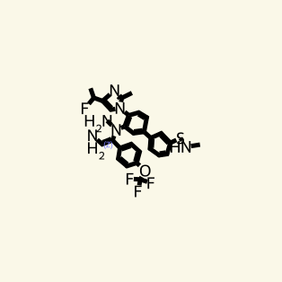 CNSc1cccc(-c2ccc(-n3cc(C(C)F)nc3C)c(N(N)/C(=C\N)c3ccc(OC(F)(F)F)cc3)c2)c1